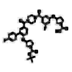 CC(C)(C)OC(=O)N1CCC(Oc2ccc(C(=O)N3CCN(C(=O)c4cc(F)cc(OC5CCN(C(=O)O)C5)c4)CC3)cc2-c2ccc(F)cc2)C1